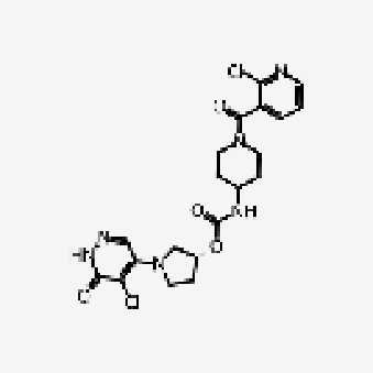 O=C(NC1CCN(C(=O)c2cccnc2Cl)CC1)O[C@@H]1CCN(c2cn[nH]c(=O)c2Cl)C1